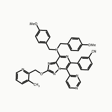 COc1ccc(CN(Cc2ccc(OC)cc2)c2nc(-c3cccc(C#N)c3)c(-c3ccncn3)n3nc(OCc4ncccc4C)nc23)cc1